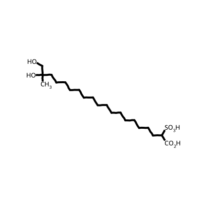 CC(O)(CO)CCCCCCCCCCCCCCCCC(C(=O)O)S(=O)(=O)O